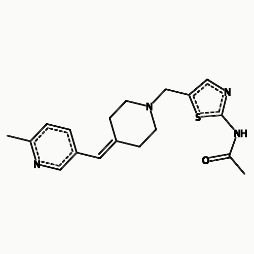 CC(=O)Nc1ncc(CN2CCC(=Cc3ccc(C)nc3)CC2)s1